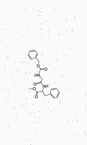 COC(=O)C(Cc1ccccc1)NC(=O)CNC(=O)OCc1ccccc1